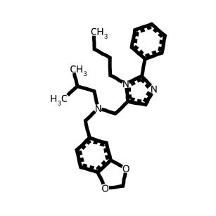 CCCCn1c(CN(Cc2ccc3c(c2)OCO3)CC(C)C)cnc1-c1ccccc1